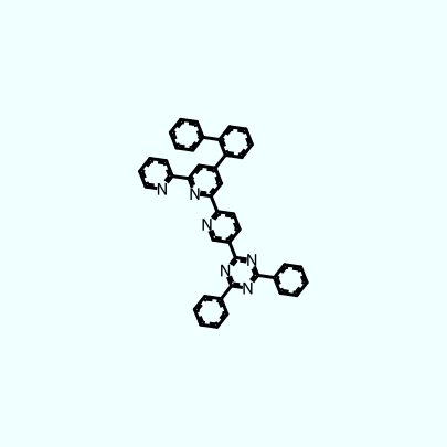 c1ccc(-c2nc(-c3ccccc3)nc(-c3ccc(-c4cc(-c5ccccc5-c5ccccc5)cc(-c5ccccn5)n4)nc3)n2)cc1